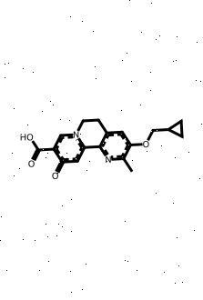 Cc1nc2c(cc1OCC1CC1)CCn1cc(C(=O)O)c(=O)cc1-2